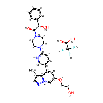 N#Cc1cnn2cc(OCCO)cc(-c3ccc(N4CCN(C(=O)[C@H](O)c5ccccc5)CC4)nc3)c12.O=C(O)C(F)(F)F